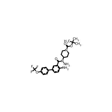 CC(C)(C)OC(=O)N1CCC(N(N)C(=O)c2cc(-c3ccc(OC(F)(F)F)cc3)ccc2N)CC1